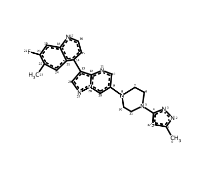 Cc1nnc(N2CCN(c3cnc4c(-c5ccnc6cc(F)c(C)cc56)cnn4c3)CC2)s1